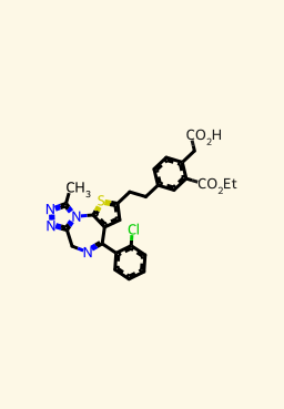 CCOC(=O)c1cc(CCc2cc3c(s2)-n2c(C)nnc2CN=C3c2ccccc2Cl)ccc1CC(=O)O